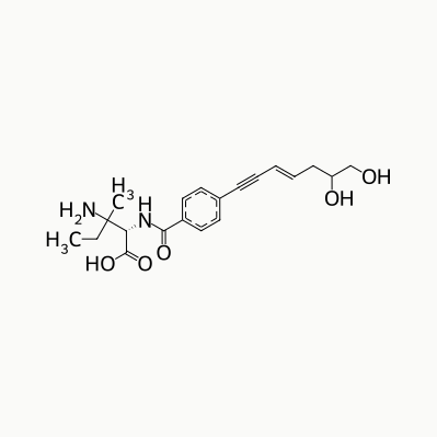 CCC(C)(N)[C@H](NC(=O)c1ccc(C#C/C=C/CC(O)CO)cc1)C(=O)O